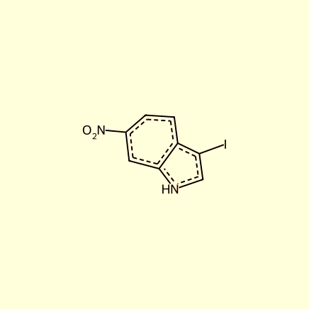 O=[N+]([O-])c1ccc2c(I)c[nH]c2c1